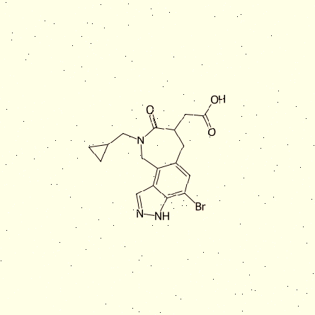 O=C(O)CC1Cc2cc(Br)c3[nH]ncc3c2CN(CC2CC2)C1=O